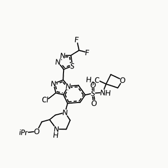 CC(C)OCC1CN(c2cc(S(=O)(=O)NC3(C)COC3)cn3c(-c4nnc(C(F)F)s4)nc(Cl)c23)CCN1